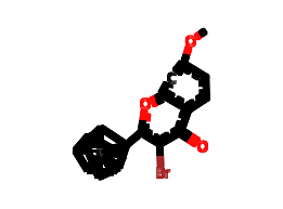 COc1ccc2c(=O)c(Br)c([C]34[CH]5[CH]6[CH]7[CH]3[Fe]6754389%10[CH]4[CH]3[CH]8[CH]9[CH]4%10)oc2c1